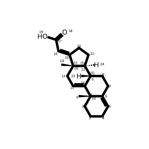 C[C@]12CCCC=C1CC[C@@H]1C2=CC[C@]2(C)C(=CC(=O)O)CC[C@@H]12